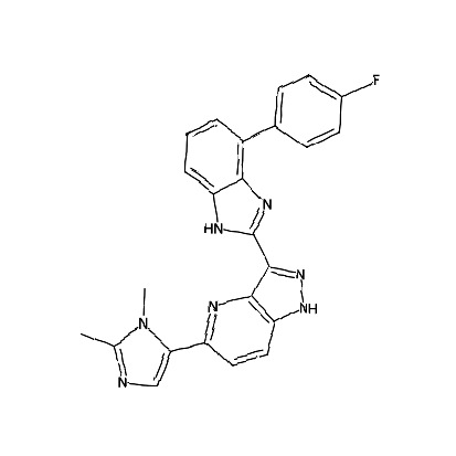 Cc1ncc(-c2ccc3[nH]nc(-c4nc5c(-c6ccc(F)cc6)cccc5[nH]4)c3n2)n1C